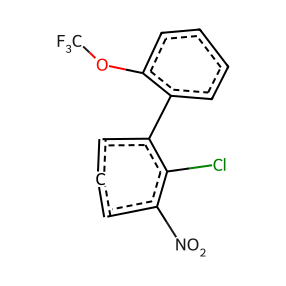 O=[N+]([O-])c1cccc(-c2ccccc2OC(F)(F)F)c1Cl